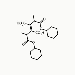 CC(C(=O)OC1CCCCC1)C(C(=O)O)=C(C(=O)O)C(C)C(=O)OC1CCCCC1